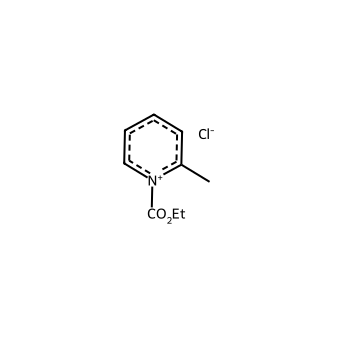 CCOC(=O)[n+]1ccccc1C.[Cl-]